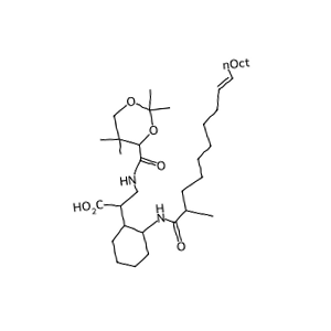 CCCCCCCCC=CCCCCCCC(C)C(=O)NC1CCCCC1C(CNC(=O)C1OC(C)(C)OCC1(C)C)C(=O)O